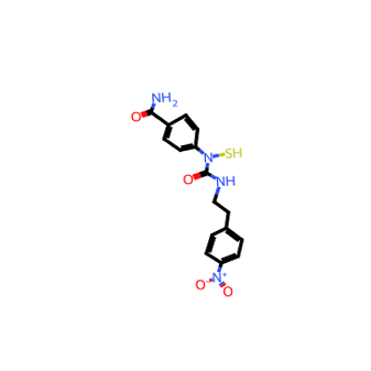 NC(=O)c1ccc(N(S)C(=O)NCCc2ccc([N+](=O)[O-])cc2)cc1